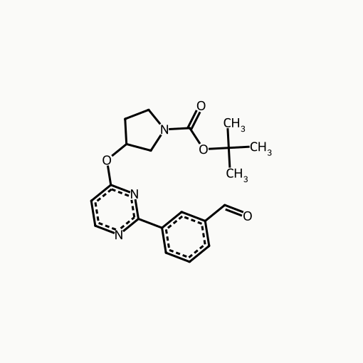 CC(C)(C)OC(=O)N1CCC(Oc2ccnc(-c3cccc(C=O)c3)n2)C1